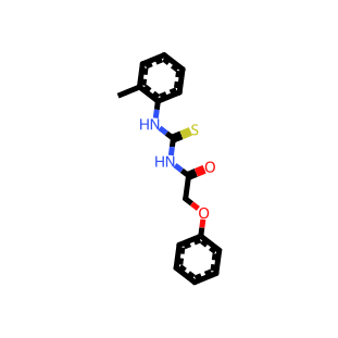 Cc1ccccc1NC(=S)NC(=O)COc1ccccc1